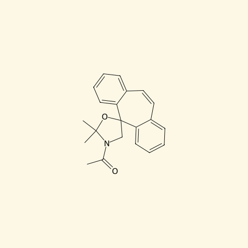 CC(=O)N1CC2(OC1(C)C)c1ccccc1C=Cc1ccccc12